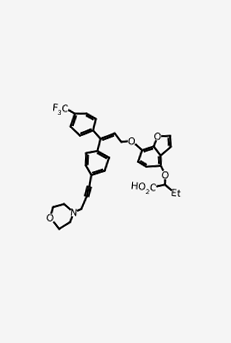 CCC(Oc1ccc(OC/C=C(\c2ccc(C#CCN3CCOCC3)cc2)c2ccc(C(F)(F)F)cc2)c2occc12)C(=O)O